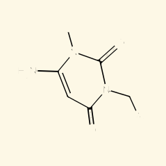 CC(=O)Cn1c(=O)cc(N)n(C)c1=O